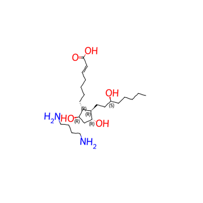 CCCCC[C@H](O)CC[C@@H]1[C@@H](CCCCC=CC(=O)O)[C@H](O)C[C@H]1O.NCCCCN